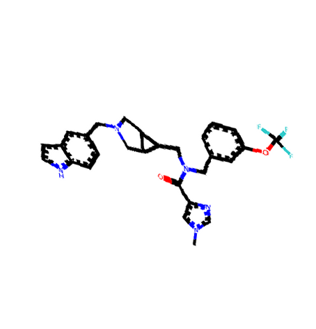 Cn1cnc(C(=O)N(Cc2cccc(OC(F)(F)F)c2)CC2C3CN(Cc4ccc5[nH]ccc5c4)CC32)c1